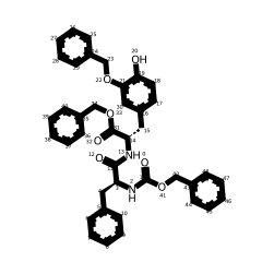 O=C(N[C@@H](Cc1ccccc1)C(=O)N[C@@H](Cc1ccc(O)c(OCc2ccccc2)c1)C(=O)OCc1ccccc1)OCc1ccccc1